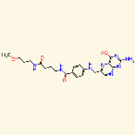 COCCCNC(=O)CCCNC(=O)c1ccc(NCc2cnc3nc(N)nc(O)c3n2)cc1